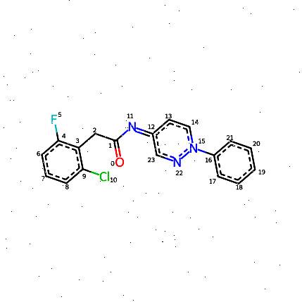 O=C(Cc1c(F)cccc1Cl)/N=c1/ccn(-c2ccccc2)nc1